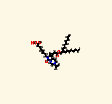 CCCCCCCCC(CCCCCCCC)COC(=O)CC1CC(N(CCCCCCCC(=O)O)C(=O)N2CCCN(C(C)C)CC2)C1